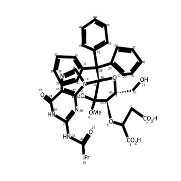 COC1(OC)[C@H](OC(CC(=O)O)C(=O)O)[C@@H](CO)O[C@]1(n1cnc2c(=O)[nH]c(NC(=O)C(C)C)nc21)C(c1ccccc1)(c1ccccc1)c1ccccc1